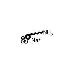 NCCCCCCCc1ccc(S(=O)(=O)[O-])cc1.[Na+]